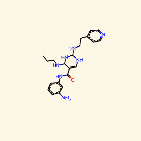 CCCNC1NC(NCCc2ccncc2)NC=C1C(=O)Nc1cccc(N)c1